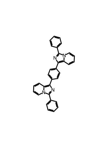 c1ccc(-c2nc(-c3ccc(-c4nc(-c5ccccc5)n5ccccc45)cc3)c3ccccn23)cc1